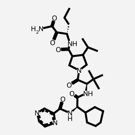 CCC[C@H](NC(=O)C1CN(C(=O)[C@H](NC(=O)[C@H](NC(=O)c2cnccn2)C2CCCCC2)C(C)(C)C)CC1C(C)C)C(=O)C(N)=O